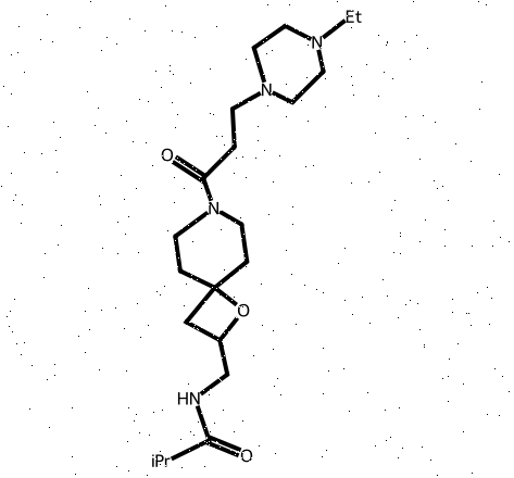 CCN1CCN(CCC(=O)N2CCC3(CC2)CC(CNC(=O)C(C)C)O3)CC1